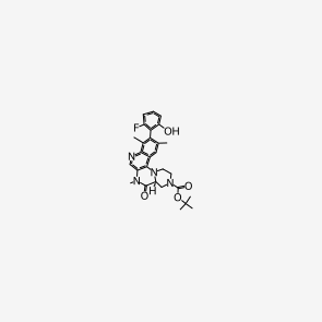 Cc1cc2c3c(cnc2c(C)c1-c1c(O)cccc1F)N(C)C(=O)[C@H]1CN(C(=O)OC(C)(C)C)CCN31